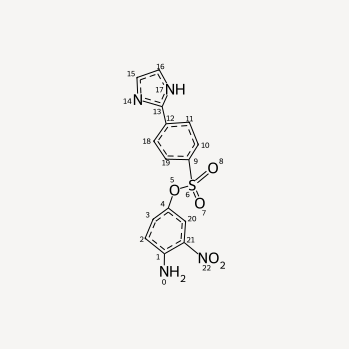 Nc1ccc(OS(=O)(=O)c2ccc(-c3ncc[nH]3)cc2)cc1[N+](=O)[O-]